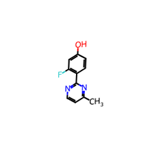 Cc1ccnc(-c2ccc(O)cc2F)n1